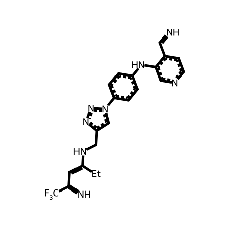 CC/C(=C\C(=N)C(F)(F)F)NCc1cn(-c2ccc(Nc3cnccc3C=N)cc2)nn1